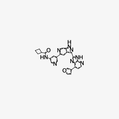 O=C(Nc1cncc(-c2cc3c(-c4nc5c(-c6ccoc6)ccnc5[nH]4)n[nH]c3cn2)c1)C1CCC1